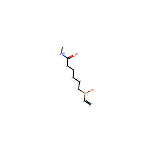 C=C[S+]([O-])CCCCCC(=O)NC